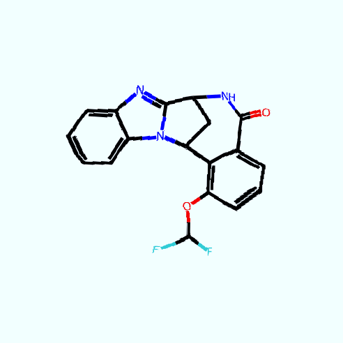 O=C1NC2CC(c3c(OC(F)F)cccc31)n1c2nc2ccccc21